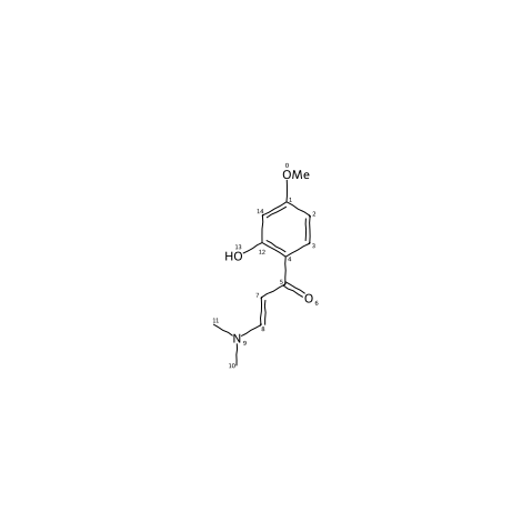 COc1ccc(C(=O)C=CN(C)C)c(O)c1